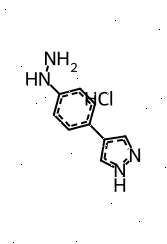 Cl.NNc1ccc(-c2cn[nH]c2)cc1